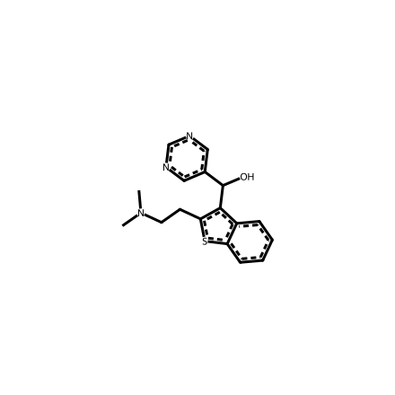 CN(C)CCc1sc2ccccc2c1C(O)c1cncnc1